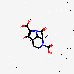 O=C(O)C1=C(O)C2CCN(C(=O)O)[C@@H]3C(=O)N1C23